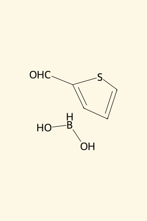 O=Cc1cccs1.OBO